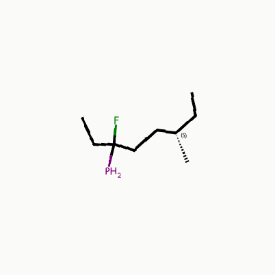 CC[C@H](C)CCC(F)(P)CC